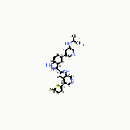 CC(C)Nc1cncc(-c2ccc3[nH]nc(-c4cc5c(-c6ccc(F)s6)cncc5[nH]4)c3c2)c1